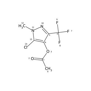 CC(=O)Oc1c(C(F)(F)F)nn(C)c1Cl